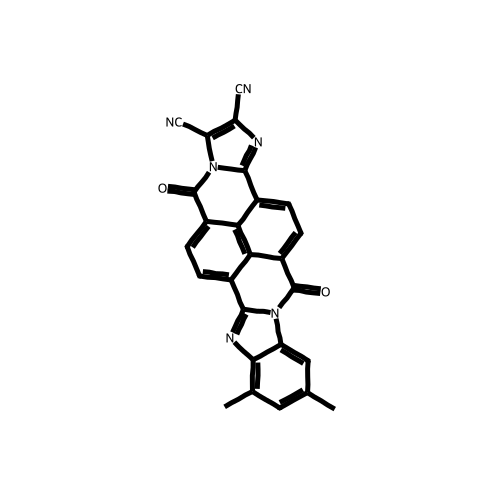 Cc1cc(C)c2nc3c4ccc5c(=O)n6c(C#N)c(C#N)nc6c6ccc(c(=O)n3c2c1)c4c56